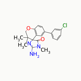 CN1C(=O)C2(N=C1N)c1cc(-c3cccc(Cl)c3)ccc1OCC2(C)C